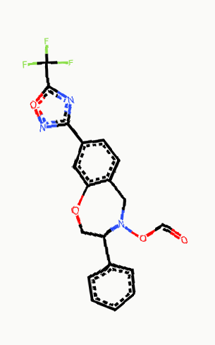 O=CON1Cc2ccc(-c3noc(C(F)(F)F)n3)cc2OCC1c1ccccc1